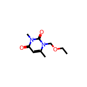 CCOCn1c(C)cc(=O)n(C)c1=O